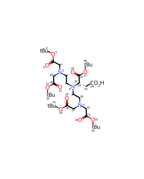 CC(C)(C)OC(=O)CN(CCN(CCN(CC(=O)OC(C)(C)C)CC(=O)OC(C)(C)C)[C@@H](CC(=O)O)C(=O)OC(C)(C)C)CC(=O)OC(C)(C)C